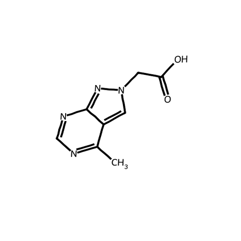 Cc1ncnc2nn(CC(=O)O)cc12